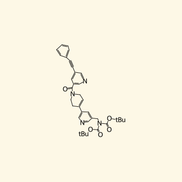 CC(C)(C)OC(=O)N(Cc1cncc(C2=CCN(C(=O)c3cncc(C#Cc4ccccc4)c3)CC2)c1)C(=O)OC(C)(C)C